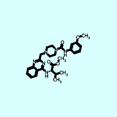 COC(=O)[C@@H](Nc1nc(CN2CCN(C(=O)Nc3cccc(OC)c3)CC2)nc2ccccc12)C(C)C